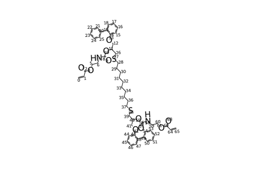 C=CC(=O)OCCNC(=O)OC(COc1ccccc1-c1ccccc1)CSCCCCCCCCCCSCC(COc1ccccc1-c1ccccc1)OC(=O)NCCOC(=O)C=C